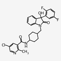 Cc1ncc(Cl)cc1C(=O)NC1CCC(CN2C(=O)C(O)(c3cc(F)ccc3F)c3ccccc32)CC1